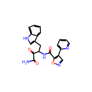 NC(=O)C(=O)C(Cc1c[nH]c2ccccc12)NC(=O)c1oncc1-c1ccccn1